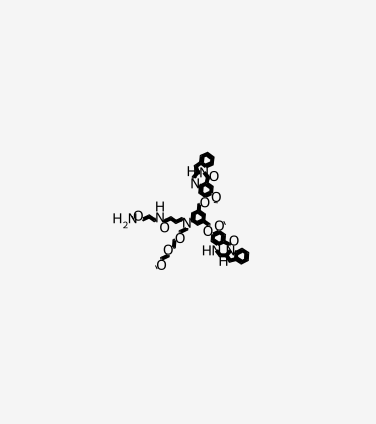 COCCOCCOCCN(CCCC(=O)NCCCON)c1cc(COc2cc3c(cc2OC)C(=O)N2c4ccccc4C[C@H]2C=N3)cc(COc2cc3c(cc2OC)C(=O)N2c4ccccc4C[C@H]2CN3)c1